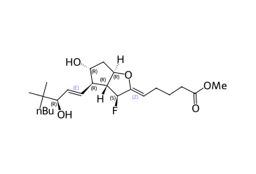 CCCCC(C)(C)[C@H](O)/C=C/[C@@H]1[C@H]2[C@H](F)/C(=C/CCCC(=O)OC)O[C@@H]2C[C@H]1O